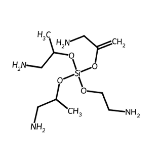 C=C(CN)O[Si](OCCN)(OC(C)CN)OC(C)CN